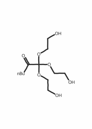 CCCCC(=O)C(OCCO)(OCCO)OCCO